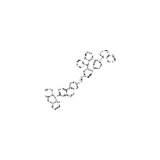 C1=CC2=C(CC1)N(c1ccc3c(c1)C(c1ccccc1)(c1ccccc1)c1cc(/C=C/c4ccc5c(ccc6cc(N7c8ccccc8Sc8ccccc87)ccc65)c4)ccc1-3)CCC2